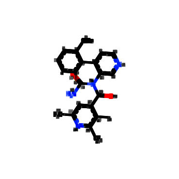 COc1cccc(F)c1-c1ccncc1N(C(N)=O)C(=O)c1cc(C(F)(F)F)nc(C(F)(F)F)c1C